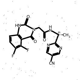 C[C@@H](NC(=O)Cn1c(=O)[nH]c2ccc(F)c(F)c2c1=O)c1ncc(C#N)cn1